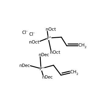 C=CC[P+](CCCCCCCC)(CCCCCCCC)CCCCCCCC.C=CC[P+](CCCCCCCCCC)(CCCCCCCCCC)CCCCCCCCCC.[Cl-].[Cl-]